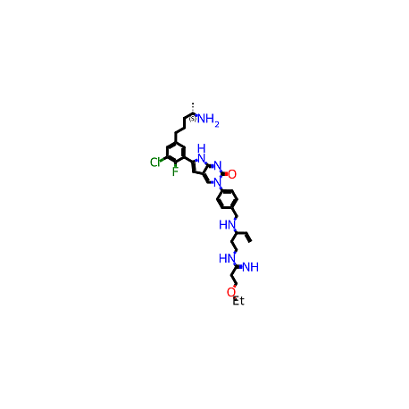 C=CC(CCNC(=N)CCOCC)NCc1ccc(-n2cc3cc(-c4cc(CCC[C@H](C)N)cc(Cl)c4F)[nH]c3nc2=O)cc1